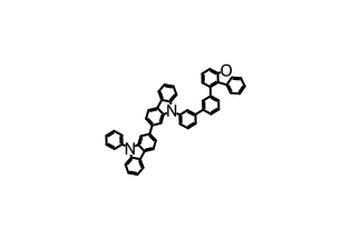 c1ccc(-n2c3ccccc3c3ccc(-c4ccc5c6ccccc6n(-c6cccc(-c7cccc(-c8cccc9oc%10ccccc%10c89)c7)c6)c5c4)cc32)cc1